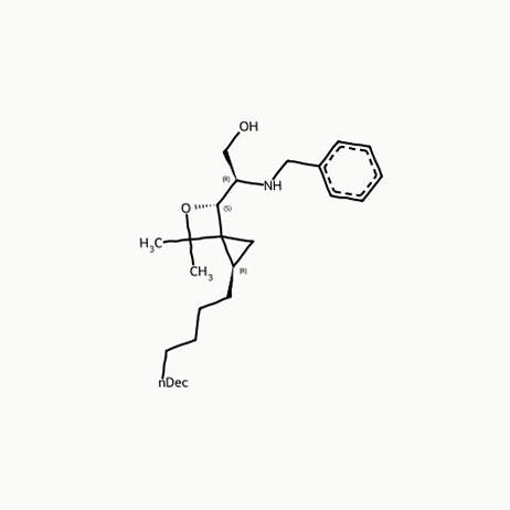 CCCCCCCCCCCCCC[C@@H]1CC12[C@@H]([C@@H](CO)NCc1ccccc1)OC2(C)C